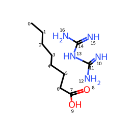 CCCCCCCC(=O)O.N=C(N)NC(=N)N